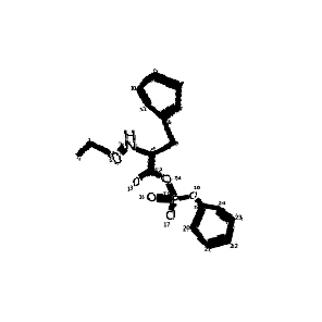 CCONC(Cc1ccccc1)C(=O)OP(=O)(Cl)Oc1ccccc1